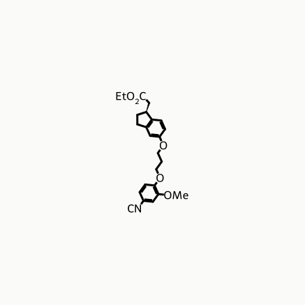 [C-]#[N+]c1ccc(OCCCOc2ccc3c(c2)CC[C@H]3CC(=O)OCC)c(OC)c1